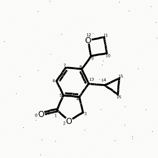 O=C1OCc2c1ccc(C1CCO1)c2C1CC1